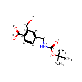 CC(C)(C)OC(=O)NCc1ccc(C(=O)O)c(CO)c1